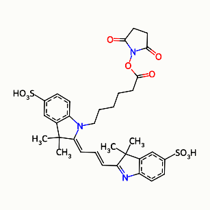 CC1(C)C(C=CC=C2N(CCCCCC(=O)ON3C(=O)CCC3=O)c3ccc(S(=O)(=O)O)cc3C2(C)C)=Nc2ccc(S(=O)(=O)O)cc21